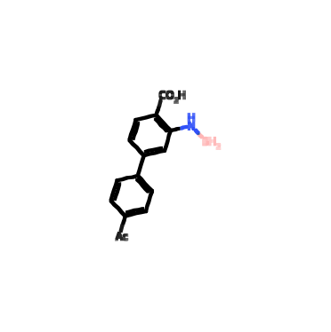 BNc1cc(-c2ccc(C(C)=O)cc2)ccc1C(=O)O